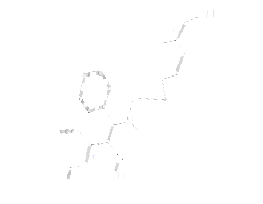 C=C/C=C(C=C)/C(N=C)=C(\c1ccccc1)N(CC)CCC/C=C\C(F)=C/C